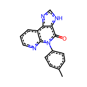 Cc1ccc(-n2c(=O)c3[nH]cnc3c3cccnc32)cc1